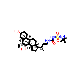 CC[C@H]1[C@@H](O)[C@@H]2[C@H](CC[C@]3(C)[C@@H]([C@H](C)CCNC(=O)NS(=O)(=O)NC(C)(C)C)CC[C@@H]23)[C@@]2(C)CC[C@@H](O)C[C@@H]12